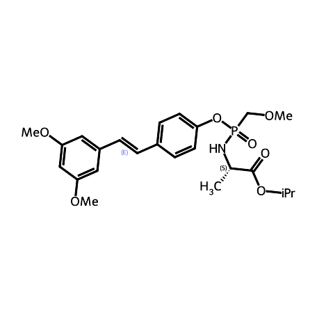 COCP(=O)(N[C@@H](C)C(=O)OC(C)C)Oc1ccc(/C=C/c2cc(OC)cc(OC)c2)cc1